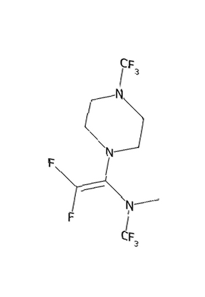 CN(C(=C(F)F)N1CCN(C(F)(F)F)CC1)C(F)(F)F